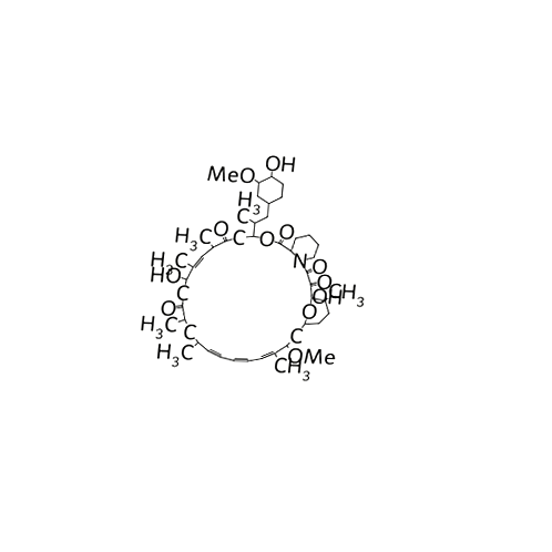 COC1CC2CCC(C)C(O)(O2)C(=O)C(=O)N2CCCCC2C(=O)OC(C(C)CC2CCC(O)C(OC)C2)CC(=O)C(C)C=C(C)C(O)CC(=O)C(C)CC(C)C=CC=CC=C1C